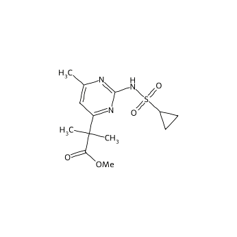 COC(=O)C(C)(C)c1cc(C)nc(NS(=O)(=O)C2CC2)n1